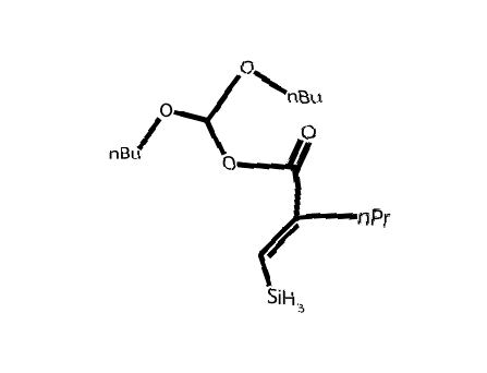 CCCCOC(OCCCC)OC(=O)C(=C[SiH3])CCC